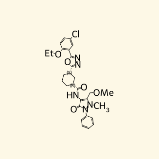 CCOc1ccc(Cl)cc1-c1nnc([C@H]2CCC[C@@H](C(=O)Nc3c(COC)n(C)n(-c4ccccc4)c3=O)C2)o1